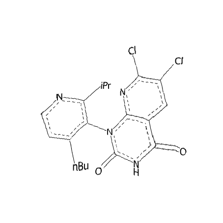 CCCCc1ccnc(C(C)C)c1-n1c(=O)[nH]c(=O)c2cc(Cl)c(Cl)nc21